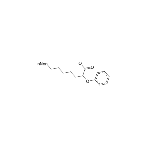 CCCCCCCCCCCCCCC(Oc1ccccc1)C([O])=O